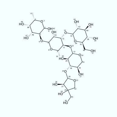 C[C@@H]1OC(O)[C@@H](OC2O[C@@H](C)[C@H](OC3OC[C@@H](O)[C@H](OC4OCC(O)(CO)[C@H]4O)[C@H]3O)[C@@H](OC3O[C@H](CO)[C@@H](O)[C@H](O)[C@H]3O)[C@H]2O)[C@H](O)[C@@H]1O